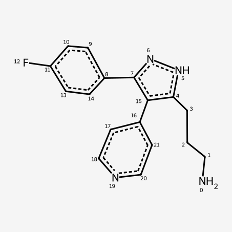 NCCCc1[nH]nc(-c2ccc(F)cc2)c1-c1ccncc1